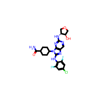 NC(=O)C1CCC(n2c(Nc3c(F)cc(Cl)cc3F)nc3cnc(N[C@@H]4COC[C@H]4O)nc32)CC1